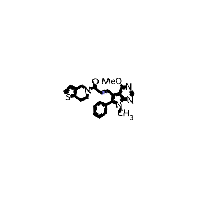 COc1ncnc2c1c(/C=C/C(=O)N1CCc3sccc3C1)c(-c1ccccc1)n2C